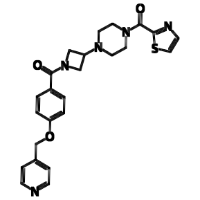 O=C(c1ccc(OCc2ccncc2)cc1)N1CC(N2CCN(C(=O)c3nccs3)CC2)C1